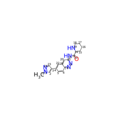 Cn1cc(-c2ccc3nnc(NC(=O)C4CCCCN4)cc3c2)cn1